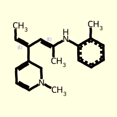 C/C=C(\C=C(/C)Nc1ccccc1C)C1=CC=CN(C)C1